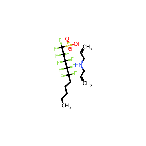 C=CCNCC=C.CCCCCC(F)(F)C(F)(F)C(F)(F)C(F)(F)C(F)(F)S(=O)(=O)O